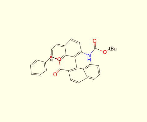 C[C@H](OC(=O)c1ccc2ccccc2c1-c1c(NC(=O)OC(C)(C)C)ccc2ccccc12)c1ccccc1